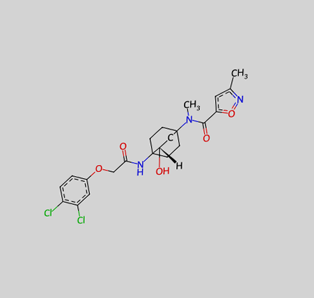 Cc1cc(C(=O)N(C)C23CCC(NC(=O)COc4ccc(Cl)c(Cl)c4)(CC2)[C@@H](O)C3)on1